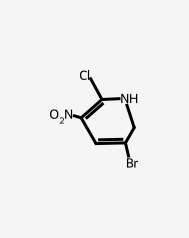 O=[N+]([O-])C1=C(Cl)NCC(Br)=C1